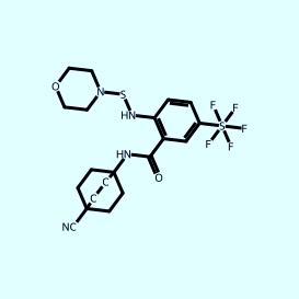 N#CC12CCC(NC(=O)c3cc(S(F)(F)(F)(F)F)ccc3NSN3CCOCC3)(CC1)CC2